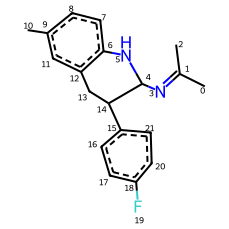 CC(C)=NC1Nc2ccc(C)cc2CC1c1ccc(F)cc1